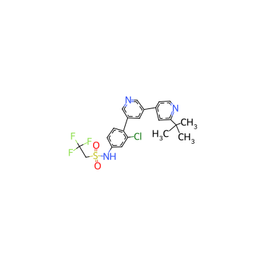 CC(C)(C)c1cc(-c2cncc(-c3ccc(NS(=O)(=O)CC(F)(F)F)cc3Cl)c2)ccn1